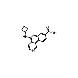 O=C(O)c1ccc2c(c1)cc(NC1CCC1)c1ccncc12